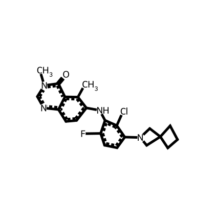 Cc1c(Nc2c(F)ccc(N3CC4(CCC4)C3)c2Cl)ccc2ncn(C)c(=O)c12